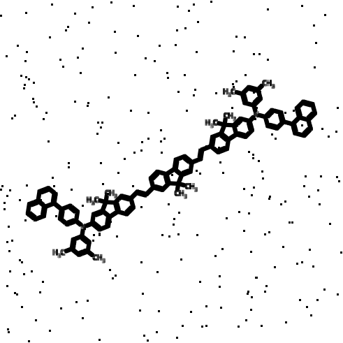 Cc1cc(C)cc(N(c2ccc(-c3cccc4ccccc34)cc2)c2ccc3c(c2)C(C)(C)c2cc(/C=C/c4ccc5c(c4)C(C)(C)c4cc(/C=C/c6ccc7c(c6)C(C)(C)c6cc(N(c8ccc(-c9cccc%10ccccc9%10)cc8)c8cc(C)cc(C)c8)ccc6-7)ccc4-5)ccc2-3)c1